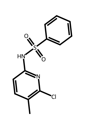 Cc1ccc(NS(=O)(=O)c2ccccc2)nc1Cl